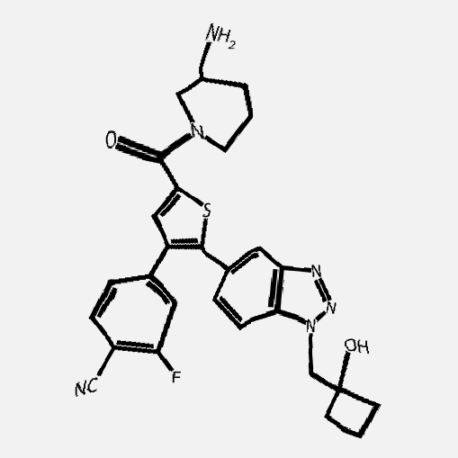 N#Cc1ccc(-c2cc(C(=O)N3CCCC(N)C3)sc2-c2ccc3c(c2)nnn3CC2(O)CCC2)cc1F